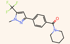 Cn1nc(-c2ccc(C(=O)N3CCCCC3)cc2)cc1C(F)(F)F